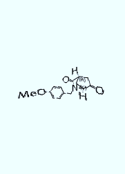 COc1ccc(CN2C(=O)[C@H]3CC(=O)[C@@H]2C3)cc1